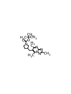 Cc1nc2nc(C)c(CC3CCN(C(=O)OC(C)(C)C)C3)c(C)n2n1